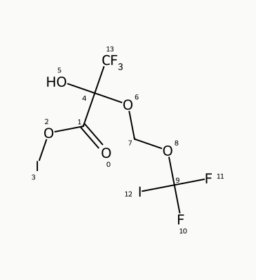 O=C(OI)C(O)(OCOC(F)(F)I)C(F)(F)F